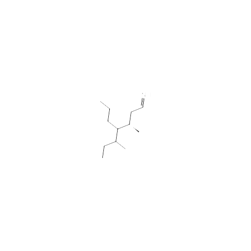 CCCC(C(C)CC)[C@H](C)CC=N